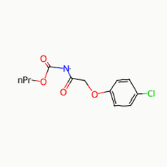 CCCOC(=O)[N]C(=O)COc1ccc(Cl)cc1